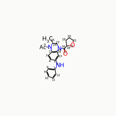 CC(=O)N1c2ccc(Nc3ccccc3)cc2N(C(=O)C2CCCO2)C[C@@H]1C